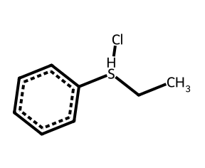 CC[SH](Cl)c1ccccc1